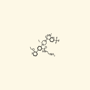 CCOc1ncccc1-c1ccc(N2CCN(C(=O)c3ccc(C(F)(F)F)nc3NC)C[C@H]2CC)c(C(=O)NCCN)c1